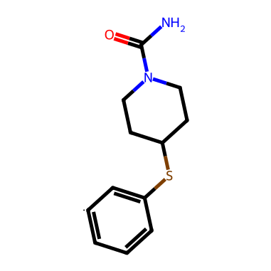 NC(=O)N1CCC(Sc2c[c]ccc2)CC1